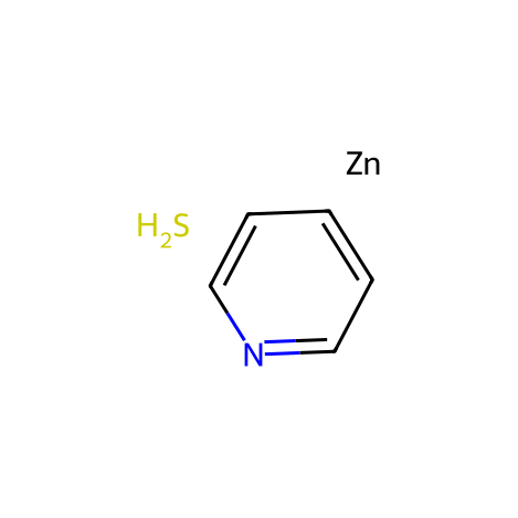 S.[Zn].c1ccncc1